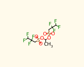 CC(OS(=O)(=O)CC(F)(F)C(F)F)OS(=O)(=O)CC(F)(F)C(F)F